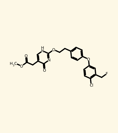 COC(=O)Cc1c[nH]c(OCCc2ccc(Oc3ccc(Cl)c(CF)c3)cc2)nc1=O